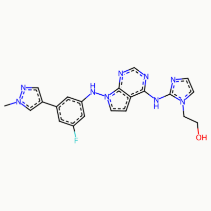 Cn1cc(-c2cc(F)cc(Nn3ccc4c(Nc5nccn5CCO)ncnc43)c2)cn1